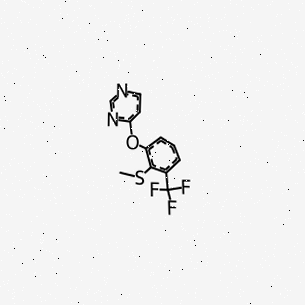 CSc1c(Oc2ccncn2)cccc1C(F)(F)F